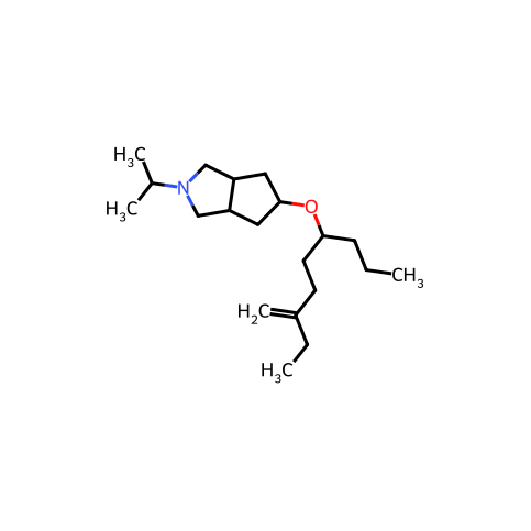 C=C(CC)CCC(CCC)OC1CC2CN(C(C)C)CC2C1